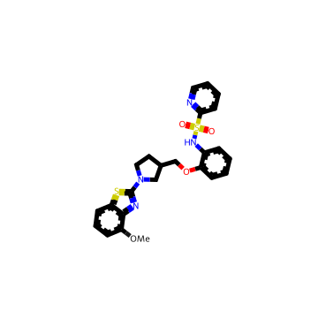 COc1cccc2sc(N3CCC(COc4ccccc4NS(=O)(=O)c4ccccn4)C3)nc12